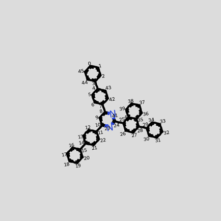 c1ccc(-c2ccc(-c3cc(-c4ccc(-c5ccccc5)cc4)nc(-c4ccc(-c5ccccc5)c5ccccc45)n3)cc2)cc1